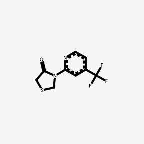 O=C1CSCN1c1cc(C(F)(F)F)ccn1